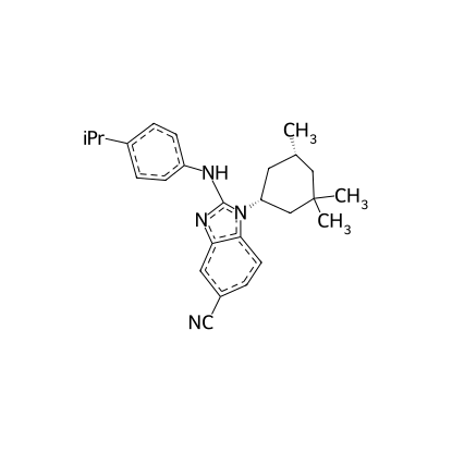 CC(C)c1ccc(Nc2nc3cc(C#N)ccc3n2[C@@H]2C[C@H](C)CC(C)(C)C2)cc1